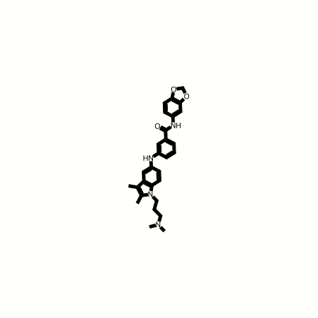 Cc1c(C)n(CCCN(C)C)c2ccc(Nc3cccc(C(=O)Nc4ccc5c(c4)OCO5)c3)cc12